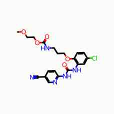 COCCOC(=O)NCCCOc1ccc(Cl)cc1NC(=O)Nc1ccc(C#N)cn1